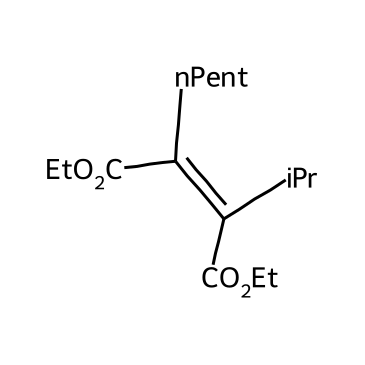 CCCCCC(C(=O)OCC)=C(C(=O)OCC)C(C)C